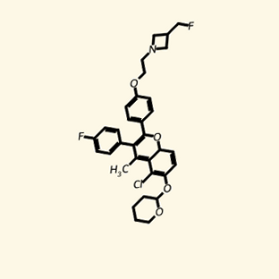 CC1=C2C(Cl)=C(OC3CCCCO3)C=CC2OC(c2ccc(OCCN3CC(CF)C3)cc2)=C1c1ccc(F)cc1